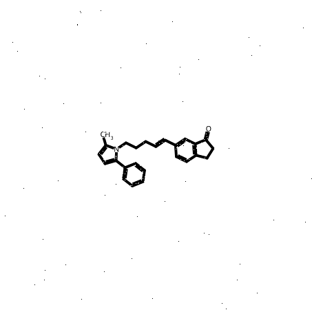 Cc1ccc(-c2ccccc2)n1CCC/C=C/c1ccc2c(c1)C(=O)CC2